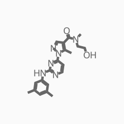 Cc1cc(C)cc(Nc2nccc(-n3ncc(C(=O)N(C)CCO)c3C)n2)c1